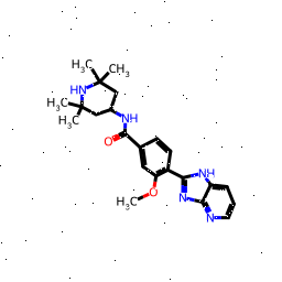 COc1cc(C(=O)NC2CC(C)(C)NC(C)(C)C2)ccc1-c1nc2ncccc2[nH]1